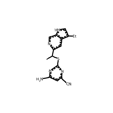 CCc1c[nH]c2cnc(C(C)Sc3nc(N)cc(C#N)n3)cc12